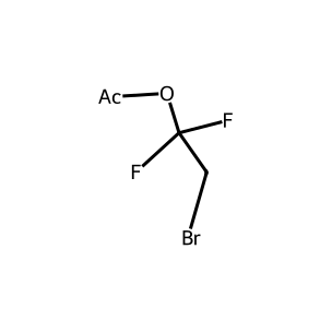 CC(=O)OC(F)(F)CBr